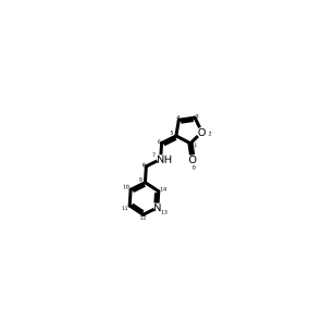 O=C1OC=CC1=CNCc1cccnc1